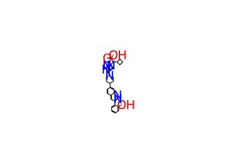 O=C(O)C(C1CCC1)n1cc(N2CCC(c3ccc4cc(-c5ccccc5O)nnc4c3)CC2)nn1